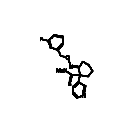 CNC(=S)C1(c2cccnc2)CCCCC1=NOCc1cccc(F)c1